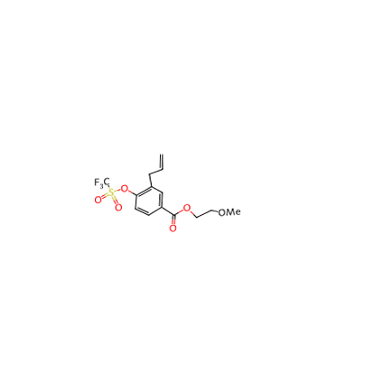 C=CCc1cc(C(=O)OCCOC)ccc1OS(=O)(=O)C(F)(F)F